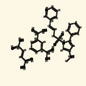 CNc1cc(-c2ccccc2)n(S(=O)(=O)CC=Cc2cccnc2)c1.O=C(O)/C=C/C(=O)O.O=C(O)c1cccc(C(=O)O)c1